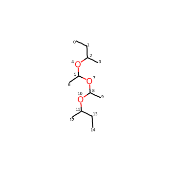 CCC(C)OC(C)OC(C)OC(C)CC